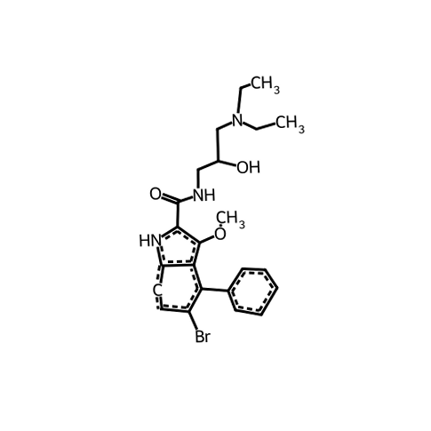 CCN(CC)CC(O)CNC(=O)c1[nH]c2ccc(Br)c(-c3ccccc3)c2c1OC